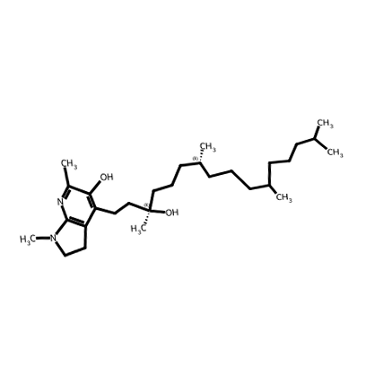 Cc1nc2c(c(CC[C@](C)(O)CCC[C@H](C)CCCC(C)CCCC(C)C)c1O)CCN2C